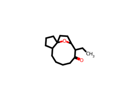 CCC1C(=O)CCCCC2CCCC23CCC1O3